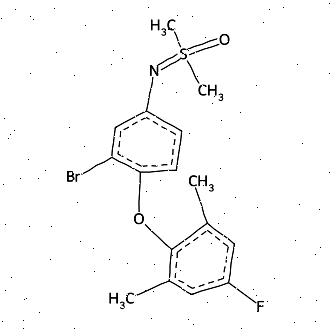 Cc1cc(F)cc(C)c1Oc1ccc(N=S(C)(C)=O)cc1Br